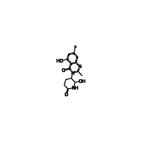 Cc1nc2cc(F)cc(O)c2c(=O)n1C1CCC(=O)NC1O